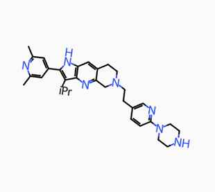 Cc1cc(-c2[nH]c3cc4c(nc3c2C(C)C)CN(CCc2ccc(N3CCNCC3)nc2)CC4)cc(C)n1